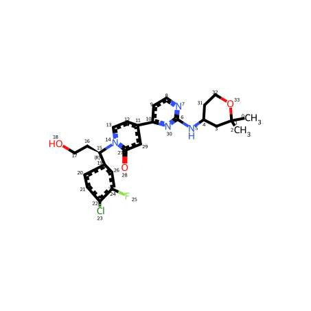 CC1(C)CC(Nc2nccc(-c3ccn([C@H](CCO)c4ccc(Cl)c(F)c4)c(=O)c3)n2)CCO1